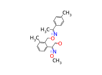 CO/N=C(/C=O)c1cccc(C)c1CO/N=C(\C)c1ccc(C)cc1